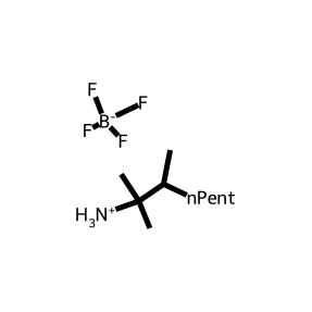 CCCCCC(C)C(C)(C)[NH3+].F[B-](F)(F)F